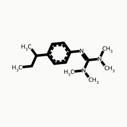 CCC(C)c1ccc(N=C(N(C)C)N(C)C)cc1